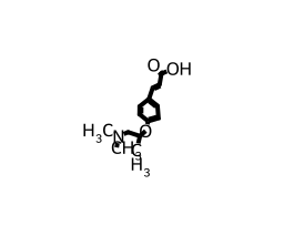 CC(CN(C)C)Oc1ccc(C=CC(=O)O)cc1